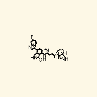 C=N/C(=C\C=C(/C)N1CCO[C@@H]2CNC[C@@H]21)Nc1ccc(-c2cnc3cc(F)ccn23)c2c1C(=O)NC2